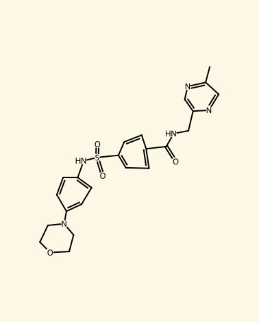 Cc1cnc(CNC(=O)c2ccc(S(=O)(=O)Nc3ccc(N4CCOCC4)cc3)cc2)cn1